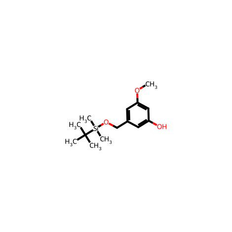 COc1cc(O)cc(CO[Si](C)(C)C(C)(C)C)c1